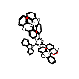 c1ccc2c(c1)Oc1ccccc1[Si]21c2ccccc2Oc2ccc(-c3nc(-c4ccc5c(c4)[Si]4(c6ccccc6Oc6ccccc64)c4ccccc4O5)nc(-n4c5ccccc5c5ccccc54)n3)cc21